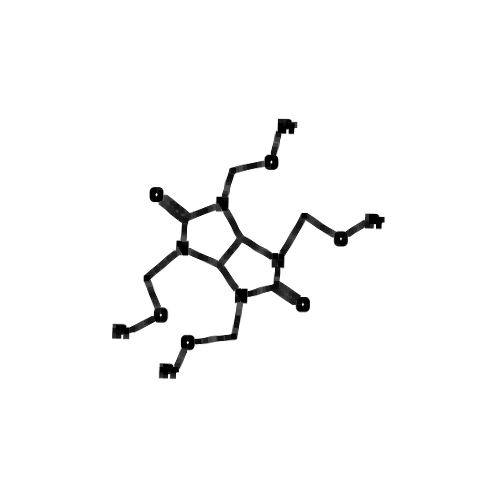 CC(C)OCN1C(=O)N(COC(C)C)C2C1N(COC(C)C)C(=O)N2COC(C)C